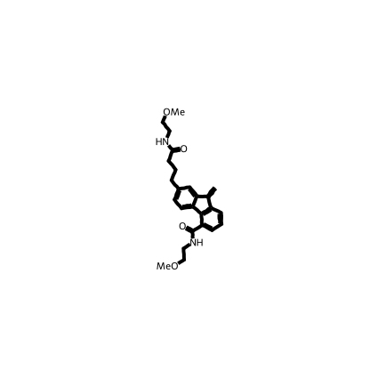 C=C1c2cc(CCCC(=O)NCCOC)ccc2-c2c1cccc2C(=O)NCCOC